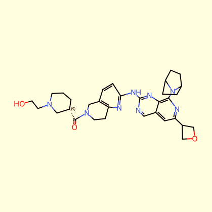 O=C([C@H]1CCCN(CCO)C1)N1CCc2nc(Nc3ncc4cc(C5COC5)nc(N5C6CCC5CC6)c4n3)ccc2C1